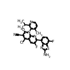 Cc1ccnc(C(C)C)c1-n1c(=O)c(C#N)c(Cl)c2cc(F)c(-c3ccc(F)c4sc(N)nc34)nc21